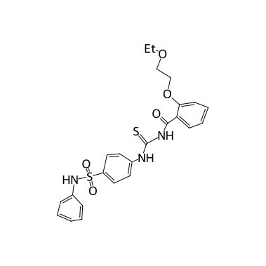 CCOCCOc1ccccc1C(=O)NC(=S)Nc1ccc(S(=O)(=O)Nc2ccccc2)cc1